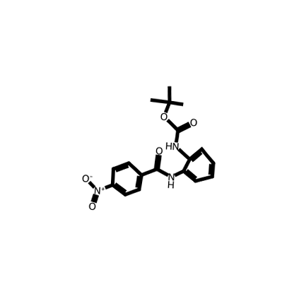 CC(C)(C)OC(=O)Nc1ccccc1NC(=O)c1ccc([N+](=O)[O-])cc1